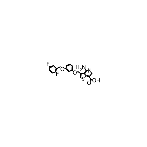 Nc1ncc(C(=O)O)c2scc(COc3cccc(OCc4cc(F)ccc4F)c3)c12